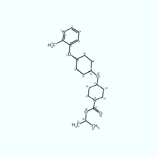 Cc1ncccc1OC1CCC(OC2CCN(C(=O)OC(C)C)CC2)CC1